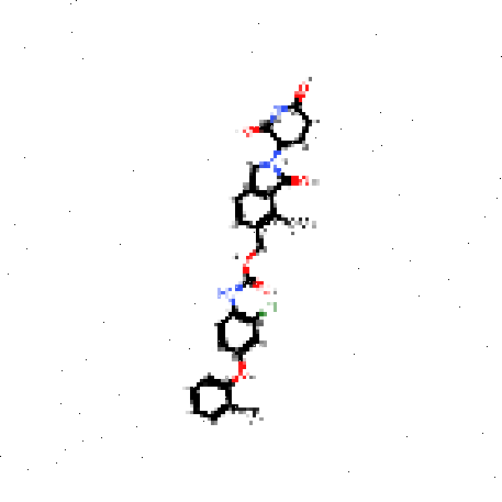 COc1c(COC(=O)Nc2ccc(Oc3ccccc3C(F)(F)F)cc2Cl)ccc2c1C(=O)N(C1CCC(=O)NC1=O)C2